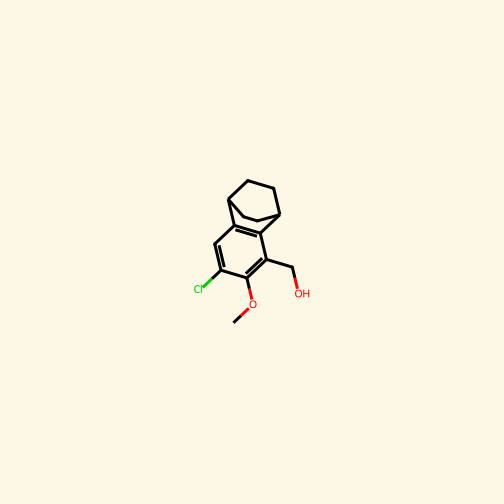 COc1c(Cl)cc2c(c1CO)C1CCC2CC1